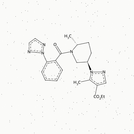 CCOC(=O)c1cnn([C@@H]2CC[C@@H](C)N(C(=O)c3ccccc3-n3nccn3)C2)c1C